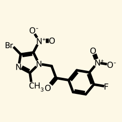 Cc1nc(Br)c([N+](=O)[O-])n1CC(=O)c1ccc(F)c([N+](=O)[O-])c1